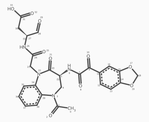 CC(=O)N1C[C@H](NC(=O)C(=O)c2ccc3c(c2)OCO3)C(=O)N(CC(=O)N[C@H](C=O)CC(=O)O)c2ccccc21